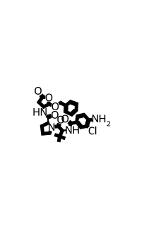 CC(C)(C)[C@H](NC(=O)c1ccc(N)c(Cl)c1)C(=O)N1CCC[C@H]1C(=O)N[C@H]1CC(=O)OC1OCc1ccccc1